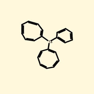 C1=CC=C[C]([Ta]([C]2=CC=CC=CC=C2)[c]2ccccc2)=CC=C1